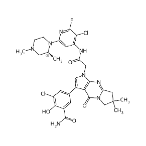 C[C@H]1CN(C)CCN1c1cc(NC(=O)Cn2cc(-c3cc(Cl)c(O)c(C(N)=O)c3)c3c(=O)n4c(nc32)CC(C)(C)C4)c(Cl)c(F)n1